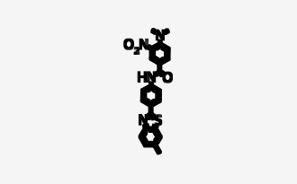 Cc1ccc2nc(-c3ccc(NC(=O)c4ccc(N(C)C)c([N+](=O)[O-])c4)cc3)sc2c1